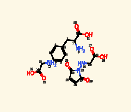 NC(Cc1ccccc1)C(=O)O.NCC(=O)O.O=C(O)CNN1C(=O)C=CC1=O